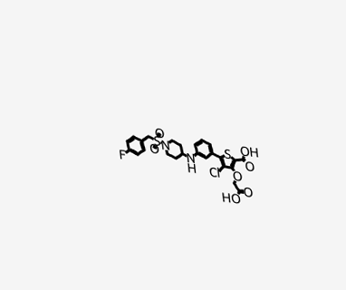 O=C(O)COc1c(C(=O)O)sc(-c2cccc(NC3CCN(S(=O)(=O)Cc4ccc(F)cc4)CC3)c2)c1Cl